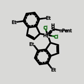 CCCCC[SiH]=[Hf]([Cl])([Cl])([CH]1C=Cc2c(CC)ccc(CC)c21)[CH]1C=Cc2c(CC)ccc(CC)c21